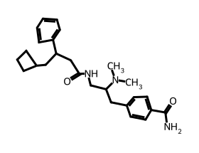 CN(C)C(CNC(=O)CC(CC1CCC1)c1ccccc1)Cc1ccc(C(N)=O)cc1